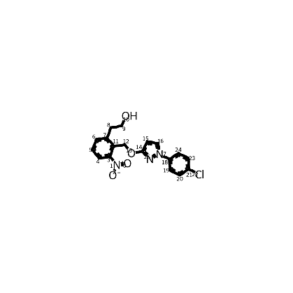 O=[N+]([O-])c1cccc(CCO)c1COc1ccn(-c2ccc(Cl)cc2)n1